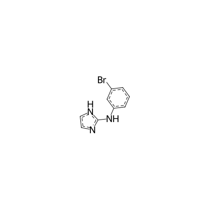 Brc1cccc(Nc2ncc[nH]2)c1